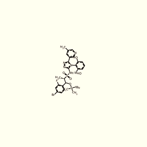 COc1cccc(OC)c1-n1c(NS(=O)(=O)[C@H](C)C(O[Si](C)(C)C(C)(C)C)c2ccc(Br)cc2F)nnc1-c1cncc(C)c1